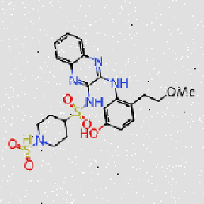 COCCc1ccc(O)cc1Nc1nc2ccccc2nc1NS(=O)(=O)C1CCN([SH](=O)=O)CC1